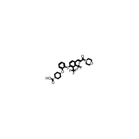 O=C(C=Cc1ccc(Sc2ccccc2O[C@H]2CC[C@@H](C(=O)O)CC2)c(C(F)(F)F)c1C(F)(F)F)N1CCOCC1